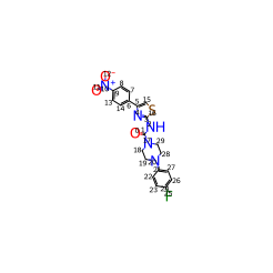 O=C(Nc1nc(-c2ccc([N+](=O)[O-])cc2)cs1)N1CCN(c2ccc(F)cc2)CC1